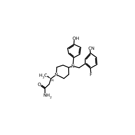 C[C@H](CC(N)=O)N1CCC(N(Cc2cc(C#N)ccc2F)c2ccc(O)cc2)CC1